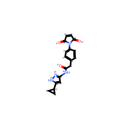 O=C(Cc1ccc(N2C(=O)C=CC2=O)cc1)Nc1cc(C2CC2)[nH]n1